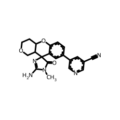 CN1C(=O)C2(N=C1N)c1cc(-c3cncc(C#N)c3)ccc1OC1CCOCC12